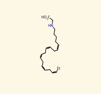 CC/C=C\C/C=C\C/C=C\C/C=C\C/C=C\CCCCNCC(=O)O